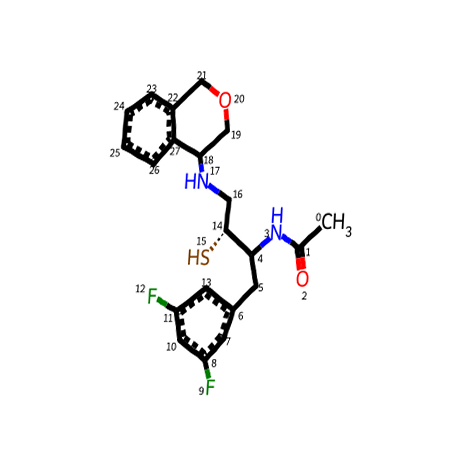 CC(=O)NC(Cc1cc(F)cc(F)c1)[C@H](S)CNC1COCc2ccccc21